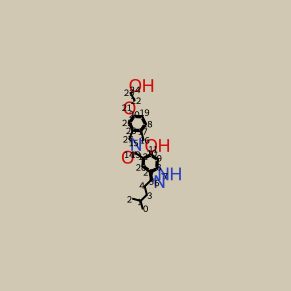 CC(C)CCc1n[nH]c2cc(O)c(C(=O)N3Cc4ccc(OCCO)cc4C3)cc12